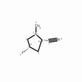 CN1C[C@@H](F)C[C@H]1C#N